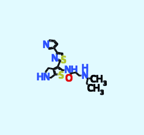 CC[C@H](C)NCCC(=O)Nc1sc2c(c1-c1nc(-c3cccnc3)cs1)CCNC2